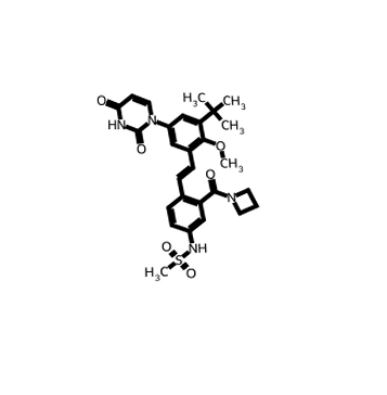 COc1c(/C=C/c2ccc(NS(C)(=O)=O)cc2C(=O)N2CCC2)cc(-n2ccc(=O)[nH]c2=O)cc1C(C)(C)C